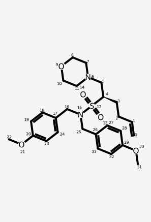 C=CCC[C@H](CN1CCOCC1)S(=O)(=O)N(Cc1ccc(OC)cc1)Cc1ccc(OC)cc1